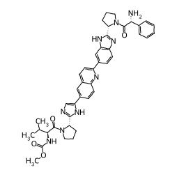 COC(=O)N[C@H](C(=O)N1CCC[C@H]1c1ncc(-c2ccc3nc(-c4ccc5nc([C@@H]6CCCN6C(=O)[C@H](N)c6ccccc6)[nH]c5c4)ccc3c2)[nH]1)C(C)C